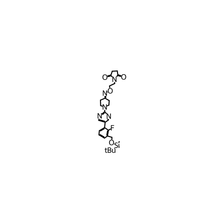 CC(C)(C)[Si](C)(C)OCc1cccc(-c2cnc(N3CCC(=NOCCN4C(=O)CCC4=O)CC3)nc2)c1F